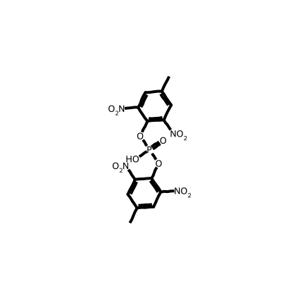 Cc1cc([N+](=O)[O-])c(OP(=O)(O)Oc2c([N+](=O)[O-])cc(C)cc2[N+](=O)[O-])c([N+](=O)[O-])c1